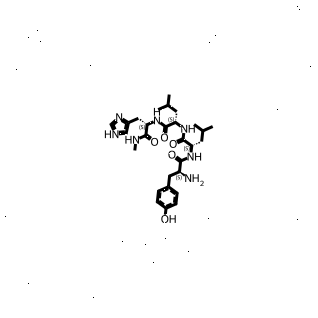 CNC(=O)[C@H](Cc1c[nH]cn1)NC(=O)[C@H](CC(C)C)NC(=O)[C@H](CC(C)C)NC(=O)[C@@H](N)Cc1ccc(O)cc1